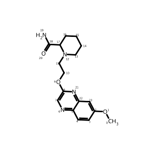 COc1ccc2ncc(OCCN3CC[CH]CC3C(N)=O)nc2c1